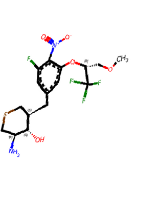 COC[C@@H](Oc1cc(C[C@@H]2CSC[C@H](N)[C@H]2O)cc(F)c1[N+](=O)[O-])C(F)(F)F